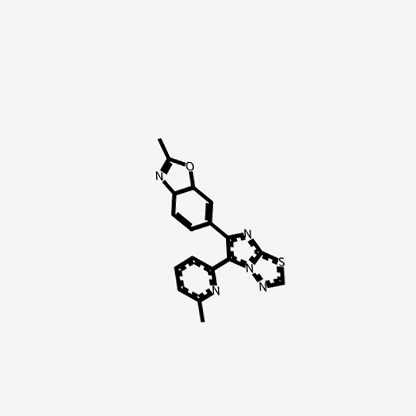 CC1=NC2C=CC(c3nc4scnn4c3-c3cccc(C)n3)=CC2O1